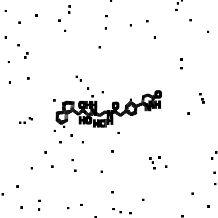 Cl.O=C(Cc1ccc(C2=NNC(=O)CC2)cc1)NCCNC(O)C(O)Cc1cccc2ccccc12